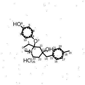 CCC1(Oc2ccc(O)cc2)CC(O)(Cc2ccc(C)cc2)CCN1C.Cl